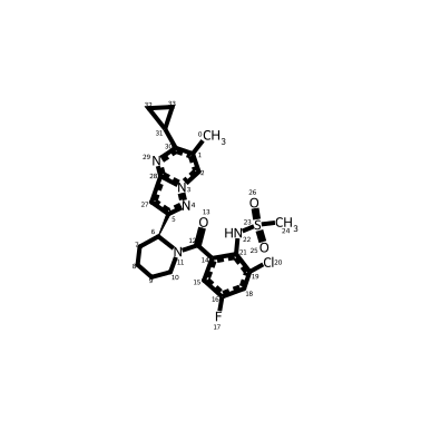 Cc1cn2nc([C@@H]3CCCCN3C(=O)c3cc(F)cc(Cl)c3NS(C)(=O)=O)cc2nc1C1CC1